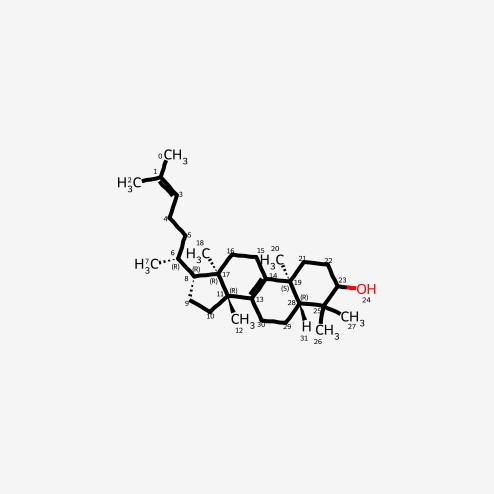 CC(C)=CCC[C@@H](C)[C@H]1CC[C@@]2(C)C3=C(CC[C@]12C)[C@@]1(C)CCC(O)C(C)(C)[C@@H]1CC3